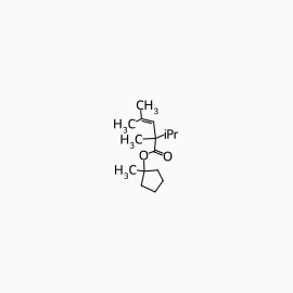 CC(C)=CC(C)(C(=O)OC1(C)CCCC1)C(C)C